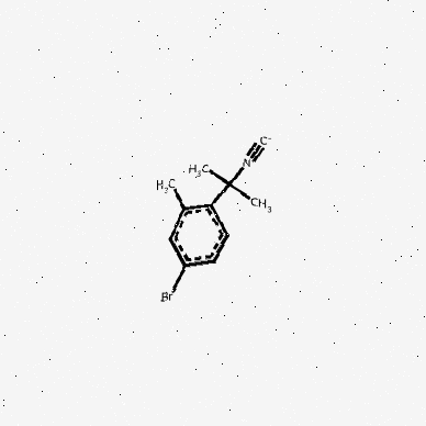 [C-]#[N+]C(C)(C)c1ccc(Br)cc1C